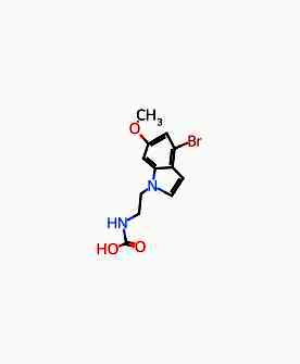 COc1cc(Br)c2ccn(CCNC(=O)O)c2c1